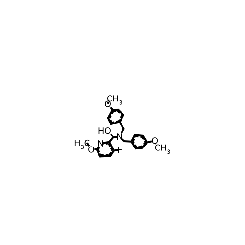 COc1ccc(CN(Cc2ccc(OC)cc2)[C@H](O)c2nc(OC)ccc2F)cc1